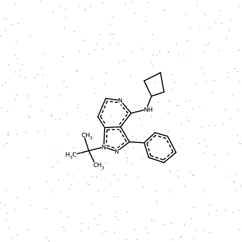 CC(C)(C)n1nc(-c2ccccc2)c2c(NC3CCC3)nccc21